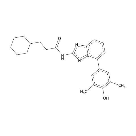 Cc1cc(-c2cccc3nc(NC(=O)CCC4CCCCC4)nn23)cc(C)c1O